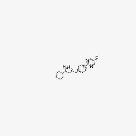 NC(CCCN1CCN(c2ncc(F)cn2)CC1)C1CCCCC1